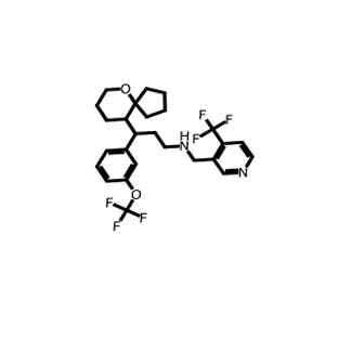 FC(F)(F)Oc1cccc(C(CCNCc2cnccc2C(F)(F)F)C2CCCOC23CCCC3)c1